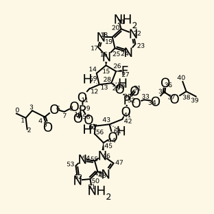 CC(C)CC(=O)OCOP1(=O)OC[C@H]2C[C@@H](n3cnc4c(N)ncnc43)[C@@H](F)[C@H]2OP(=O)(OCOC(=O)OC(C)C)OC[C@H]2O[C@@H](n3cnc4c(N)ncnc43)C[C@H]2O1